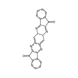 O=C1C2=NC3C=c4nc5c(nc4=CC3N=C2c2ccccc21)C(=O)c1ccccc1-5